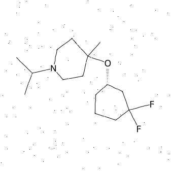 CC(C)N1CCC(C)(O[C@H]2CCCC(F)(F)C2)CC1